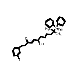 CC(C)(CCCCC(O)/C=C/C(=O)CCc1cccc(I)c1)[Si](O)(c1ccccc1)c1ccccc1